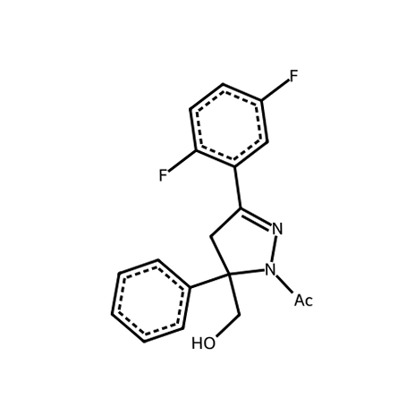 CC(=O)N1N=C(c2cc(F)ccc2F)CC1(CO)c1ccccc1